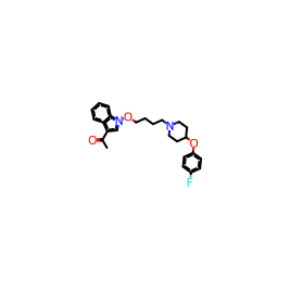 CC(=O)c1cn(OCCCCN2CCC(Oc3ccc(F)cc3)CC2)c2ccccc12